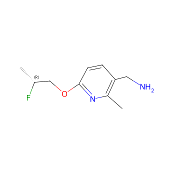 Cc1nc(OC[C@@H](C)F)ccc1CN